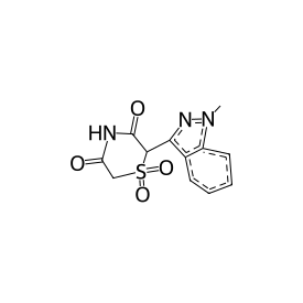 Cn1nc(C2C(=O)NC(=O)CS2(=O)=O)c2ccccc21